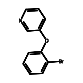 Brc1ccccc1Oc1cccnc1